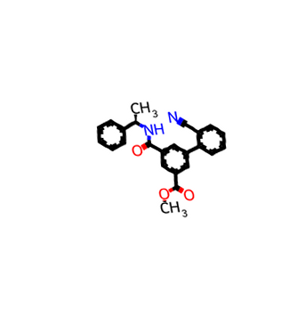 COC(=O)c1cc(C(=O)N[C@H](C)c2ccccc2)cc(-c2ccccc2C#N)c1